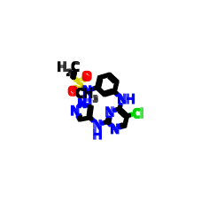 C=CS(=O)(=O)Nc1cccc(Nc2nc(Nc3cnn(C)c3)ncc2Cl)c1